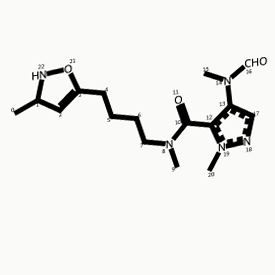 CC1C=C(CCCCN(C)C(=O)c2c(N(C)C=O)cnn2C)ON1